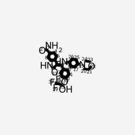 NC(=O)c1ccc2c(c1)NC(=O)C2=C(Nc1ccc(N2CCOCC2)cc1)c1ccccc1.O=C(O)C(F)(F)F